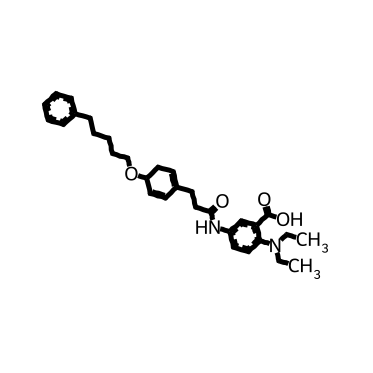 CCN(CC)c1ccc(NC(=O)CCC2=CCC(OCCCCCc3ccccc3)C=C2)cc1C(=O)O